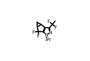 CC(C)n1nc(C(C)(F)F)c2c1C(F)(F)C1CC21